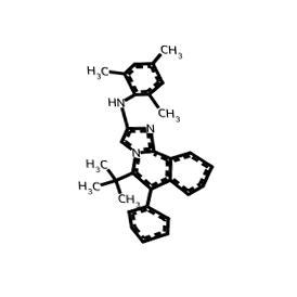 Cc1cc(C)c(Nc2cn3c(C(C)(C)C)c(-c4ccccc4)c4ccccc4c3n2)c(C)c1